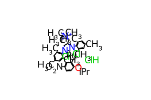 Cc1cc(C)c(N2CC(C[N+](C)(C)C)N(c3c(C)cc(C)cc3C)[C]2=[Ru]([Cl])([Cl])=[CH]c2cc([N+](=O)[O-])ccc2OC(C)C)c(C)c1.Cl